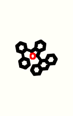 c1ccc(-c2ccccc2-c2oc(-c3c4ccccc4cc4ccccc34)c3ccccc23)cc1